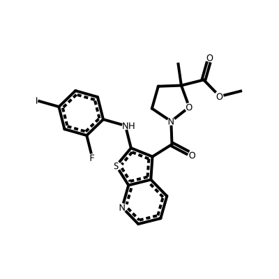 COC(=O)C1(C)CCN(C(=O)c2c(Nc3ccc(I)cc3F)sc3ncccc23)O1